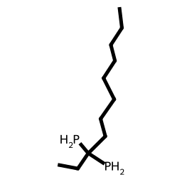 CCCCCCCCC(P)(P)CC